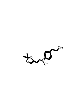 CC1(C)OCC(CC[S+]([O-])c2ccc(CCO)cc2)O1